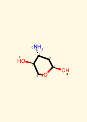 N[C@@H]1C[C@@H](O)OC[C@H]1O